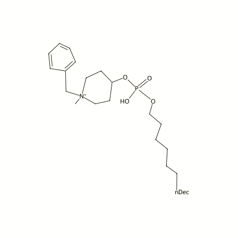 CCCCCCCCCCCCCCCCOP(=O)(O)OC1CC[N+](C)(Cc2ccccc2)CC1